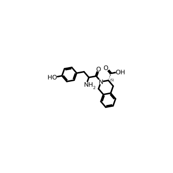 NC(Cc1ccc(O)cc1)C(=O)N1Cc2ccccc2C[C@H]1C(=O)O